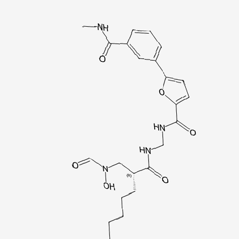 CCCCC[C@H](CN(O)C=O)C(=O)NCNC(=O)c1ccc(-c2cccc(C(=O)NC)c2)o1